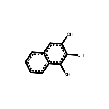 Oc1cc2ccccc2c(S)c1O